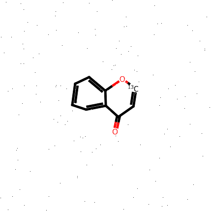 O=c1c[13cH]oc2ccccc12